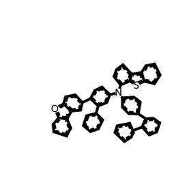 c1ccc(-c2ccccc2-c2ccc(N(c3ccc(-c4ccc5oc6ccccc6c5c4)c(-c4ccccc4)c3)c3cccc4c3sc3ccccc34)cc2)cc1